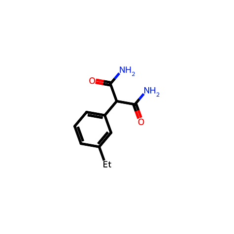 CCc1cccc(C(C(N)=O)C(N)=O)c1